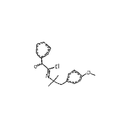 COc1ccc(CC(C)(C)N=C(Cl)C(=O)c2ccccc2)cc1